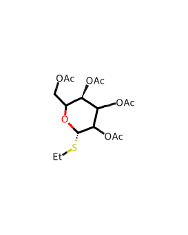 CCS[C@@H]1OC(COC(C)=O)[C@@H](OC(C)=O)C(OC(C)=O)C1OC(C)=O